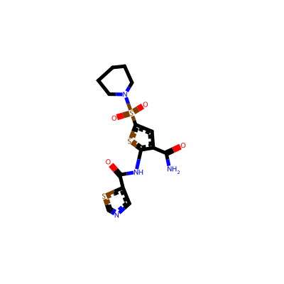 NC(=O)c1cc(S(=O)(=O)N2CCCCC2)sc1NC(=O)c1cncs1